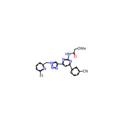 CCc1cccc(Cn2cc(-c3cc(-c4cccc(C#N)c4)nc(NC(=O)COC)n3)nn2)n1